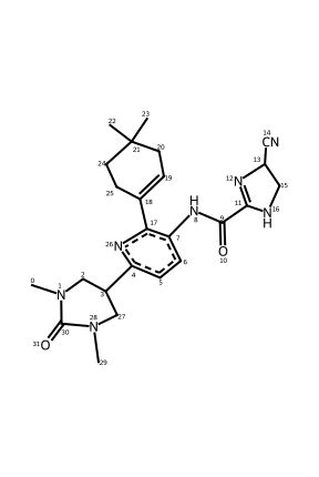 CN1CC(c2ccc(NC(=O)C3=NC(C#N)CN3)c(C3=CCC(C)(C)CC3)n2)CN(C)C1=O